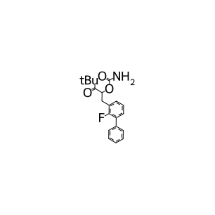 CC(C)(C)C(=O)C(Cc1cccc(-c2ccccc2)c1F)OC(N)=O